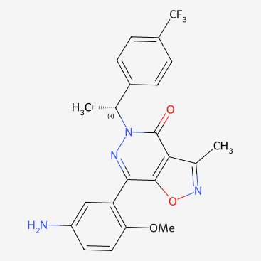 COc1ccc(N)cc1-c1nn([C@H](C)c2ccc(C(F)(F)F)cc2)c(=O)c2c(C)noc12